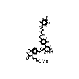 COCCCN1C(=O)COc2ccc(COC3CNCCC3c3ccc(OCCCOc4ccc(F)cc4F)cc3)cc21